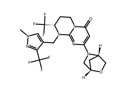 Cn1cc(CN2c3nc(N4C[C@@H]5C[C@H]4CO5)cc(=O)n3CC[C@H]2C(F)(F)F)c(C(F)(F)F)n1